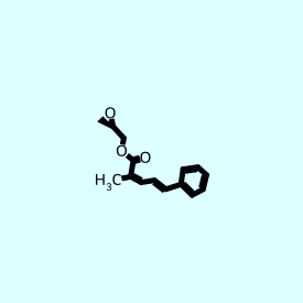 CC(=CC=Cc1ccccc1)C(=O)OCC1CO1